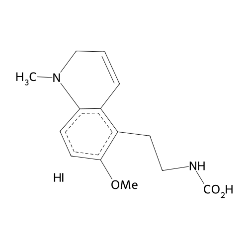 COc1ccc2c(c1CCNC(=O)O)C=CCN2C.I